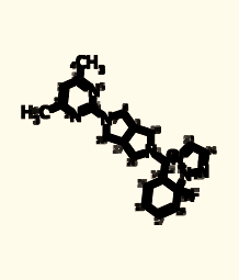 Cc1cc(C)nc(N2CC3CN(C(=O)C4C=CC=CC4(F)n4nccn4)CC3C2)n1